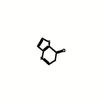 O=C1CC=Nc2ccsc21